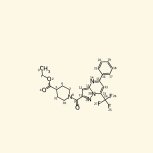 CCOC(=O)C1CCN(C(=O)c2cc3nc(-c4ccccc4)cc(C(F)(F)F)n3n2)CC1